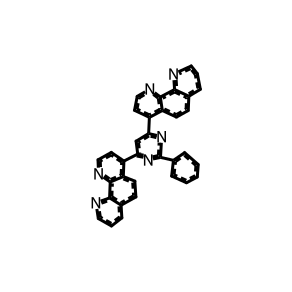 c1ccc(-c2nc(-c3ccnc4c3ccc3cccnc34)cc(-c3ccnc4c3ccc3cccnc34)n2)cc1